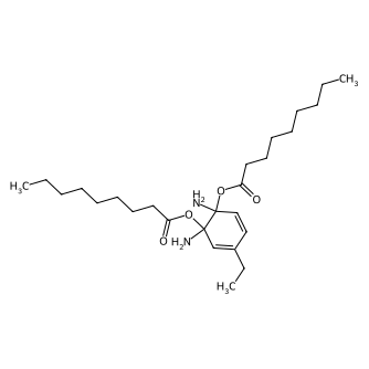 CCCCCCCCC(=O)OC1(N)C=CC(CC)=CC1(N)OC(=O)CCCCCCCC